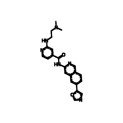 CN(C)CCNc1cc(C(=O)Nc2cc3cc(-c4cnco4)ccc3cn2)ccn1